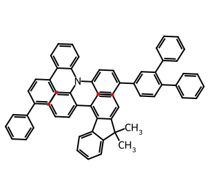 CC1(C)c2ccccc2-c2c(-c3ccccc3N(c3ccc(-c4ccc(-c5ccccc5)c(-c5ccccc5)c4)cc3)c3ccccc3-c3ccc(-c4ccccc4)cc3)cccc21